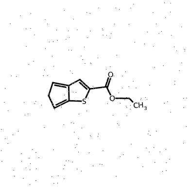 CCOC(=O)c1cc2c(s1)=CCC=2